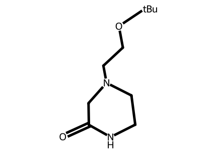 CC(C)(C)OCCN1CCNC(=O)C1